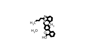 CCCCc1nc2cccc(C)c2n1Cc1ccc(-c2ccccc2C(=O)O)cc1.O